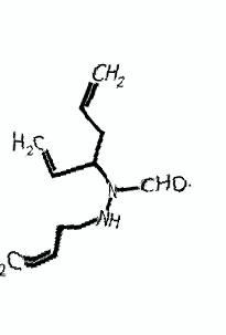 C=CCNN([C]=O)C(C=C)CC=C